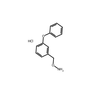 Cl.NOCc1cccc(Oc2ccccc2)c1